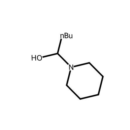 CCCCC(O)N1CCCCC1